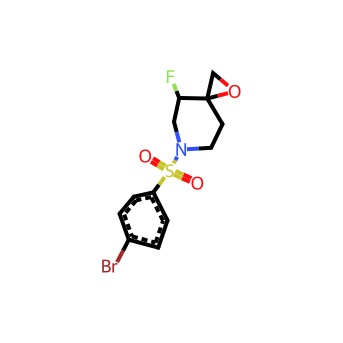 O=S(=O)(c1ccc(Br)cc1)N1CCC2(CO2)C(F)C1